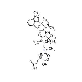 CN[C@H](C(=O)NC(C(=O)N(C)C/C=C(\C)C(=O)N[C@H](CCC(=O)O)C(=O)O)C(C)(C)C)C(C)(C)c1cn(C)c2ccccc12